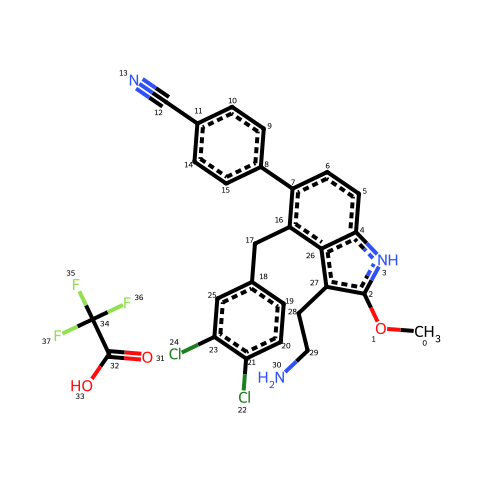 COc1[nH]c2ccc(-c3ccc(C#N)cc3)c(Cc3ccc(Cl)c(Cl)c3)c2c1CCN.O=C(O)C(F)(F)F